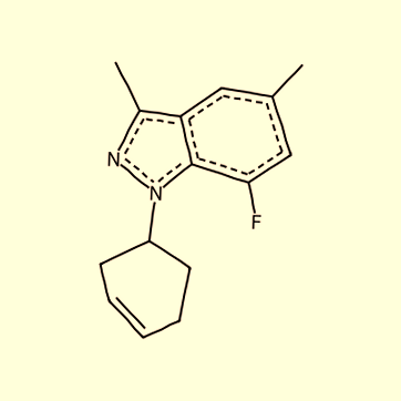 Cc1cc(F)c2c(c1)c(C)nn2C1CC=CCC1